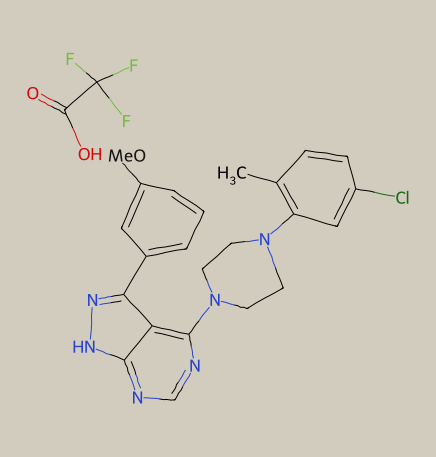 COc1cccc(-c2n[nH]c3ncnc(N4CCN(c5cc(Cl)ccc5C)CC4)c23)c1.O=C(O)C(F)(F)F